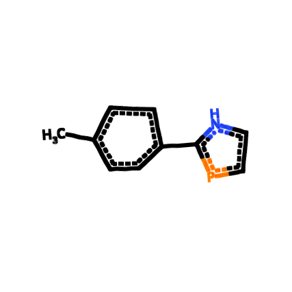 Cc1ccc(-c2[nH]ccp2)cc1